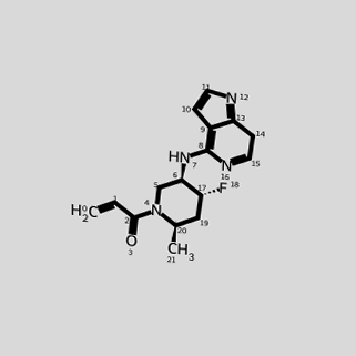 C=CC(=O)N1C[C@@H](NC2=C3C=CN=C3CC=N2)[C@H](F)C[C@H]1C